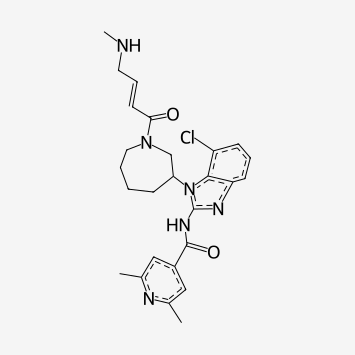 CNC/C=C/C(=O)N1CCCCC(n2c(NC(=O)c3cc(C)nc(C)c3)nc3cccc(Cl)c32)C1